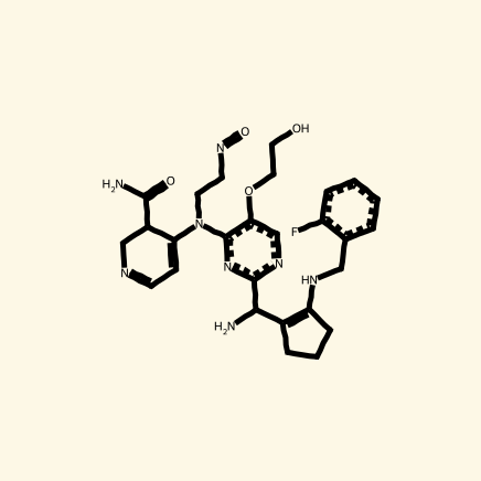 NC(=O)C1CN=CC=C1N(CCN=O)c1nc(C(N)C2=C(NCc3ccccc3F)CCC2)ncc1OCCO